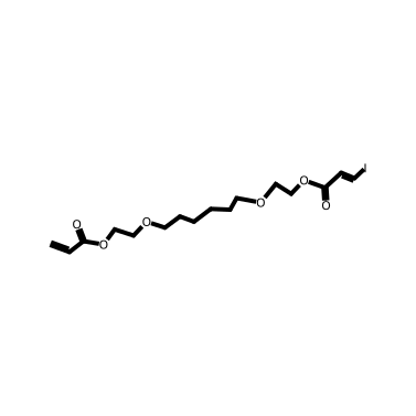 C=CC(=O)OCCOCCCCCCOCCOC(=O)/C=C/I